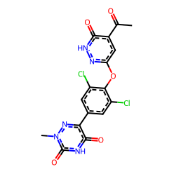 CC(=O)c1cc(Oc2c(Cl)cc(-c3nn(C)c(=O)[nH]c3=O)cc2Cl)n[nH]c1=O